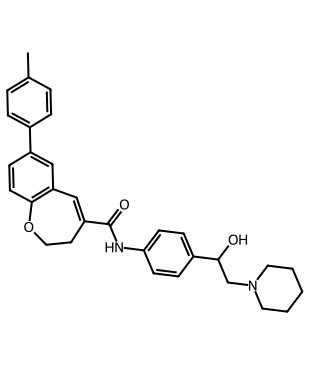 Cc1ccc(-c2ccc3c(c2)C=C(C(=O)Nc2ccc(C(O)CN4CCCCC4)cc2)CCO3)cc1